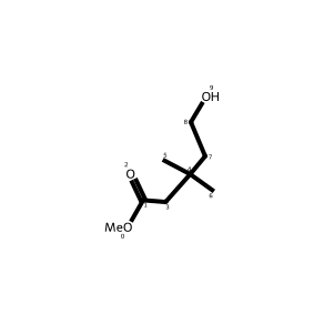 COC(=O)CC(C)(C)CCO